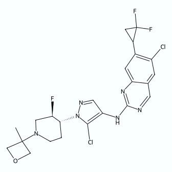 CC1(N2CC[C@@H](n3ncc(Nc4ncc5cc(Cl)c(C6CC6(F)F)cc5n4)c3Cl)[C@H](F)C2)COC1